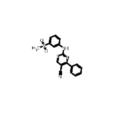 CS(=O)(=O)c1cccc(Nc2ncc(C#N)c(-c3ccccc3)n2)c1